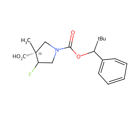 CC(C)(C)C(OC(=O)N1CC(F)[C@](C)(C(=O)O)C1)c1ccccc1